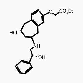 CCOC(=O)COc1ccc2c(c1)CC(NC[C@H](O)c1ccccc1)CCC2.Cl